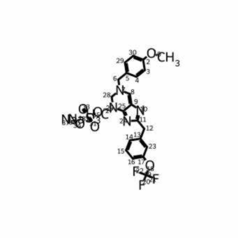 COc1ccc(CN2C=C3N=C(Cc4cccc(OC(F)(F)F)c4)N=C3N(C)C2)cc1.O=S(=O)([O-])[O-].[Na+].[Na+]